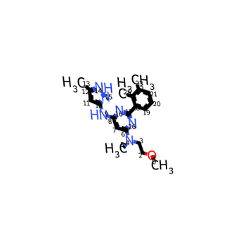 COCCN(C)c1cc(Nc2cc(C)[nH]n2)nc(-c2cccc(C)c2C)n1